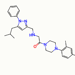 Cc1ccc(N2CCN(C(=O)CNCc3cc(CC(C)C)n(-c4ccccc4)n3)CC2)c(C)c1